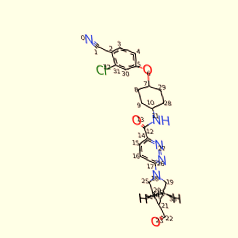 N#Cc1ccc(OC2CCC(NC(=O)c3ccc(N4C[C@@H]5C(C=O)[C@@H]5C4)nn3)CC2)cc1Cl